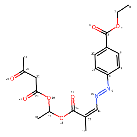 CCOC(=O)c1ccc(N=NC=C(C)C(=O)OC(C)OC(=O)CC(C)=O)cc1